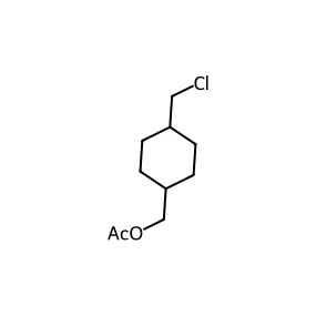 CC(=O)OCC1CCC(CCl)CC1